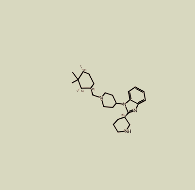 C[C@@H]1CC[C@@H](CN2CCC(n3c([C@@H]4CCCNC4)nc4ccccc43)CC2)[C@H](C)C1(C)C